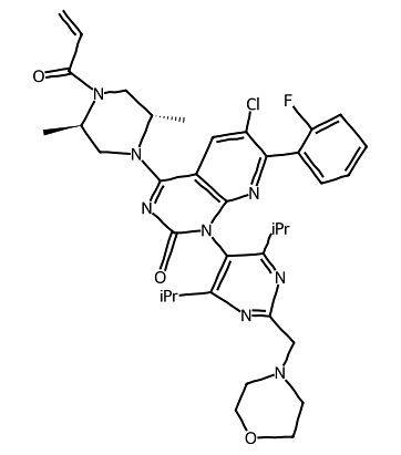 C=CC(=O)N1C[C@H](C)N(c2nc(=O)n(-c3c(C(C)C)nc(CN4CCOCC4)nc3C(C)C)c3nc(-c4ccccc4F)c(Cl)cc23)C[C@H]1C